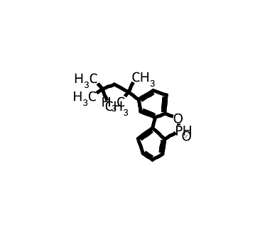 CC(C)(C)CC(C)(C)c1ccc2c(c1)-c1ccccc1[PH](=O)O2